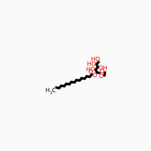 CCCCCCCCCCCCCCCC(=O)O[C@@H](C1OCCO1)[C@@H](O)[C@H](O)[C@H](O)CO